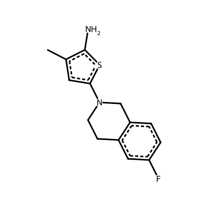 Cc1cc(N2CCc3cc(F)ccc3C2)sc1N